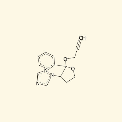 C#CCOC1(c2ccccc2)OCCC1n1cncn1